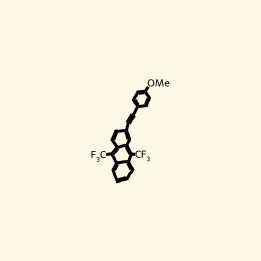 COc1ccc(C#Cc2ccc3c(C(F)(F)F)c4ccccc4c(C(F)(F)F)c3c2)cc1